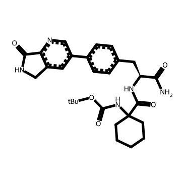 CC(C)(C)OC(=O)NC1(C(=O)N[C@@H](Cc2ccc(-c3cnc4c(c3)CNC4=O)cc2)C(N)=O)CCCCC1